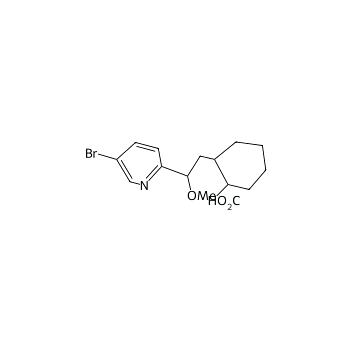 COC(CC1CCCCC1C(=O)O)c1ccc(Br)cn1